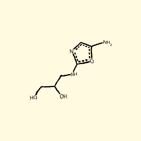 Nc1cnc(NCC(O)CO)o1